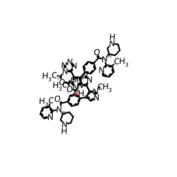 Cc1cccnc1N(C(=O)c1ccc(-c2cnn(C)c2-c2nnnn2[C@H](C)OC(=O)O[C@@H](C)n2nnnc2-c2c(-c3ccc(C(=O)N(c4ncccc4C)[C@@H]4CCCNC4)cc3)cnn2C)cc1)[C@@H]1CCCNC1